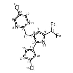 FC(F)c1cn(Cc2ncc(Cl)cn2)c(-c2csc(Cl)c2)n1